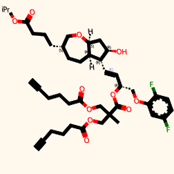 C#CCCCC(=O)OCC(C)(COC(=O)CCCC#C)C(=O)O[C@H](/C=C/[C@@H]1[C@H]2CC[C@H](CCCC(=O)OC(C)C)CO[C@H]2C[C@H]1O)COc1cc(F)ccc1F